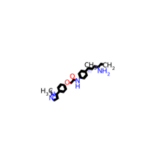 C=C/C(N)=C/C=C(\C)c1ccc(NC(=O)COc2ccc(-c3ccnn3C)cc2)cc1